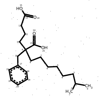 CC(C)CCCCCCC(CCCC(=O)O)(Cc1ccccc1)C(=O)O